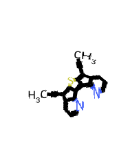 CC#CC1=c2sc3c(c2-c2ncccc21)-c1ncccc1C=3C#CC